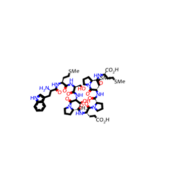 CSCC[C@H](NC(=O)[C@@H]1CCCN1C(=O)[C@H](CCSC)NC(=O)[C@@H]1CCCN1C(=O)[C@H](CCC(=O)O)NC(=O)[C@@H]1CCCN1C(=O)[C@@H](NC(=O)[C@H](CO)NC(=O)[C@H](CCSC)NC(=O)[C@@H](N)Cc1c[nH]c2ccccc12)[C@@H](C)O)C(=O)O